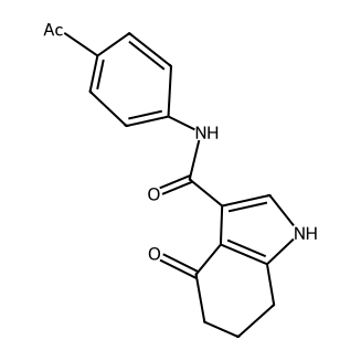 CC(=O)c1ccc(NC(=O)c2c[nH]c3c2C(=O)CCC3)cc1